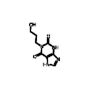 O=c1[nH]c2nc[nH]c2c(=O)n1CCCO